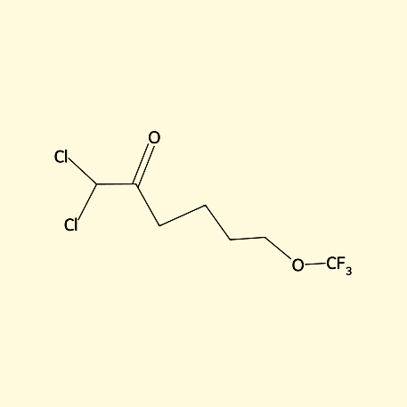 O=C(CCCCOC(F)(F)F)C(Cl)Cl